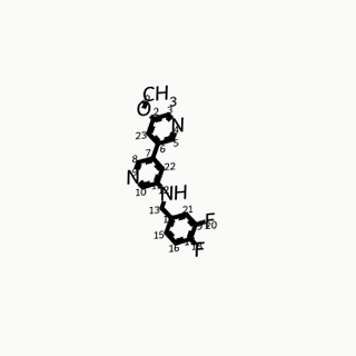 COc1cncc(-c2cncc(NCc3ccc(F)c(F)c3)c2)c1